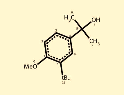 COc1ccc(C(C)(C)O)cc1C(C)(C)C